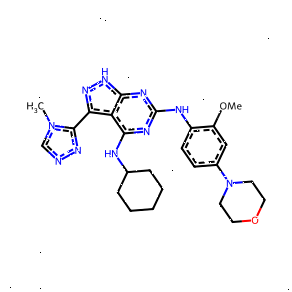 COc1cc(N2CCOCC2)ccc1Nc1nc(NC2CCCCC2)c2c(-c3nncn3C)n[nH]c2n1